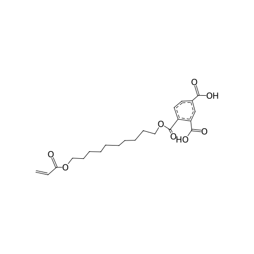 C=CC(=O)OCCCCCCCCCCOC(=O)c1ccc(C(=O)O)cc1C(=O)O